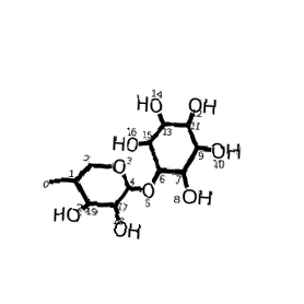 CC1COC(OC2C(O)C(O)C(O)C(O)C2O)C(O)C1O